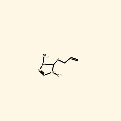 C=CCSC1N(N)N=N[S+]1[O-]